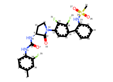 Cc1ccc(NC(=O)N[C@@H]2CCN(c3ccc(-c4ccccc4NS(C)(=O)=O)c(F)c3F)C2=O)c(F)c1